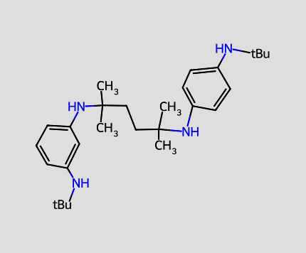 CC(C)(C)Nc1ccc(NC(C)(C)CCC(C)(C)Nc2cccc(NC(C)(C)C)c2)cc1